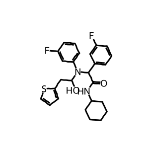 O=C(NC1CCCCC1)C(c1cccc(F)c1)N(c1cccc(F)c1)C(O)Cc1cccs1